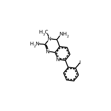 CN1C(N)=Nc2nc(-c3ccccc3I)ccc2C1N